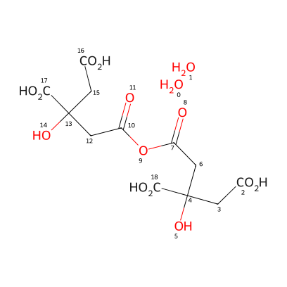 O.O.O=C(O)CC(O)(CC(=O)OC(=O)CC(O)(CC(=O)O)C(=O)O)C(=O)O